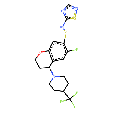 Fc1cc2c(cc1SNc1ncns1)OCC[C@@H]2N1CCC(C(F)(F)F)CC1